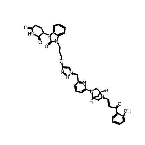 O=C1CCC(n2c(=O)n(CCCCc3cn(Cc4cccc(N5C[C@H]6C[C@@H]5CN6/C=C/C(=O)c5ccccc5O)n4)nn3)c3ccccc32)C(=O)N1